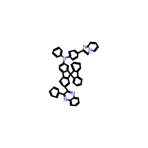 c1ccc(-c2nc3ccccc3nc2-c2ccc3c(c2)C2(c4ccccc4-c4ccccc42)c2cc(N(c4ccccc4)c4ccc(-c5cn6ccccc6n5)cc4)ccc2-3)cc1